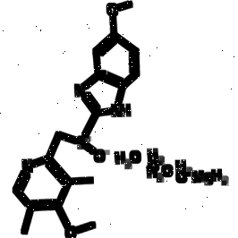 COc1ccc2[nH]c([S+]([O-])Cc3ncc(C)c(OC)c3C)nc2c1.O.O.O.O.[MgH2]